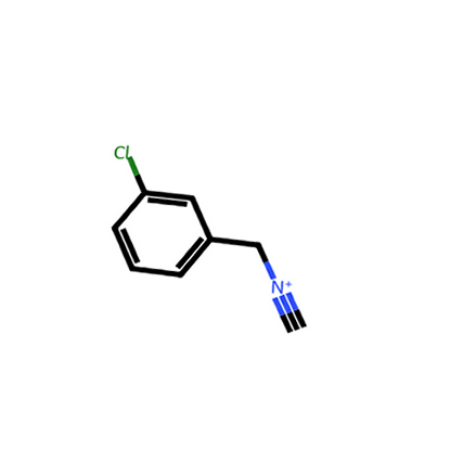 C#[N+]Cc1cccc(Cl)c1